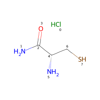 Cl.NC(=O)[C@@H](N)CS